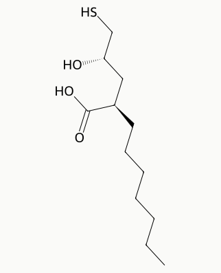 CCCCCCC[C@H](C[C@H](O)CS)C(=O)O